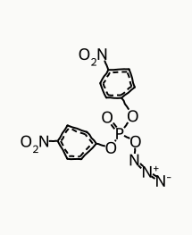 [N-]=[N+]=NOP(=O)(Oc1ccc([N+](=O)[O-])cc1)Oc1ccc([N+](=O)[O-])cc1